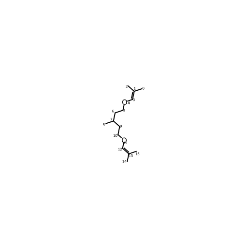 CC(C)=COCCC(C)CCOC=C(C)C